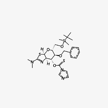 CN(C)C1=N[C@@H]2[C@@H](OC(=S)n3ccnc3)[C@H](OCc3ccccc3)[C@@H](CO[Si](C)(C)C(C)(C)C)O[C@@H]2S1